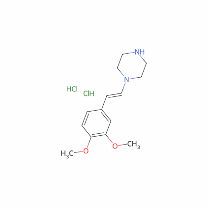 COc1ccc(C=CN2CCNCC2)cc1OC.Cl.Cl